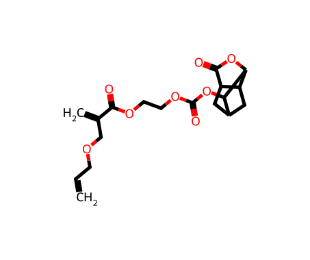 C=CCOCC(=C)C(=O)OCCOC(=O)OC1C2CC3C(=O)OC1C3C2